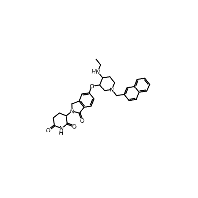 CCNC1CCN(Cc2ccc3ccccc3c2)CC1Oc1ccc2c(c1)CN(C1CCC(=O)NC1=O)C2=O